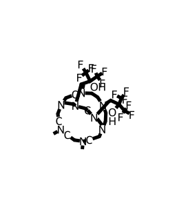 CN1CCN(C)CCN2CCN(C)CCN(CC(O)(C(F)(F)F)C(F)(F)F)CCN(CC1)CCN(C)CCN(CC(O)(C(F)(F)F)C(F)(F)F)CC2